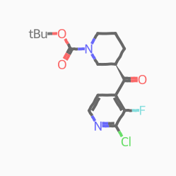 CC(C)(C)OC(=O)N1CCC[C@@H](C(=O)c2ccnc(Cl)c2F)C1